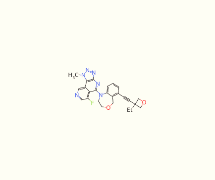 CCC1(C#Cc2cccc3c2COCCN3c2nc3nnn(C)c3c3cncc(F)c23)COC1